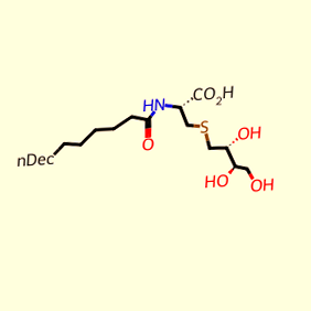 CCCCCCCCCCCCCCCC(=O)N[C@@H](CSC[C@H](O)[C@H](O)CO)C(=O)O